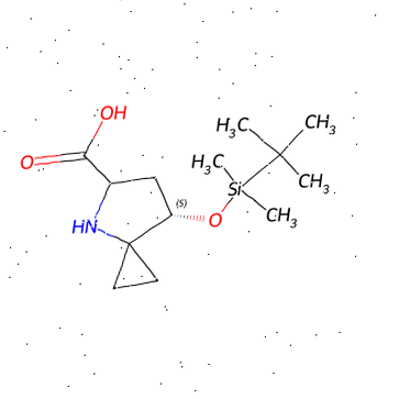 CC(C)(C)[Si](C)(C)O[C@H]1CC(C(=O)O)NC12CC2